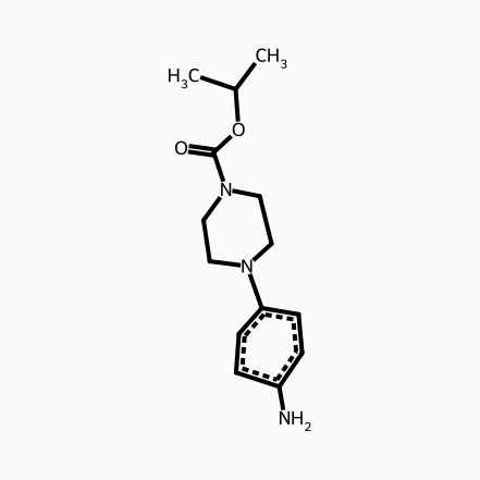 CC(C)OC(=O)N1CCN(c2ccc(N)cc2)CC1